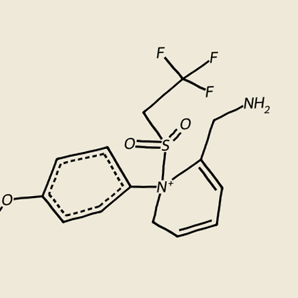 COc1ccc([N+]2(S(=O)(=O)CC(F)(F)F)CC=CC=C2CN)cc1